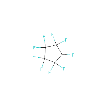 FC1C(F)(F)C(F)(F)C(F)(F)C1(F)F